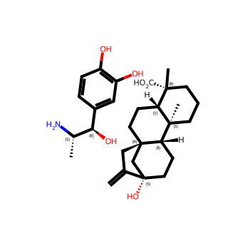 C=C1C[C@@]23CC[C@H]4[C@@](C)(CCC[C@@]4(C)C(=O)O)[C@@H]2CC[C@]1(O)C3.C[C@H](N)[C@H](O)c1ccc(O)c(O)c1